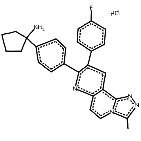 Cc1nnc2c3cc(-c4ccc(F)cc4)c(-c4ccc(C5(N)CCCC5)cc4)nc3ccn12.Cl